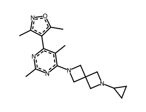 Cc1nc(-c2c(C)noc2C)c(C)c(N2CC3(C2)CN(C2CC2)C3)n1